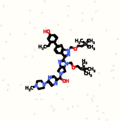 CCc1cc(O)ccc1-c1ccc2c(-c3nc4c(n3COCC[Si](C)(C)C)CN(C(O)c3cnc(N5CCN(C)CC5)cn3)C4)nn(COCC[Si](C)(C)C)c2c1